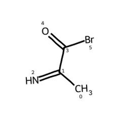 CC(=N)C(=O)Br